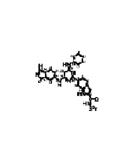 CC(C)NC(=O)c1cc2ccc(-c3nc(Nc4ccccc4)cc(Nc4ccc5[nH]ncc5c4)n3)cc2[nH]1